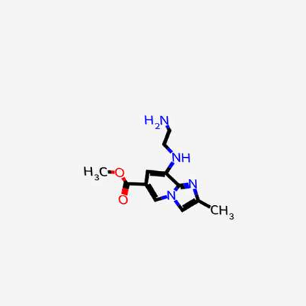 COC(=O)c1cc(NCCN)c2nc(C)cn2c1